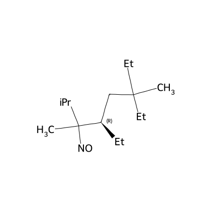 CC[C@H](CC(C)(CC)CC)C(C)(N=O)C(C)C